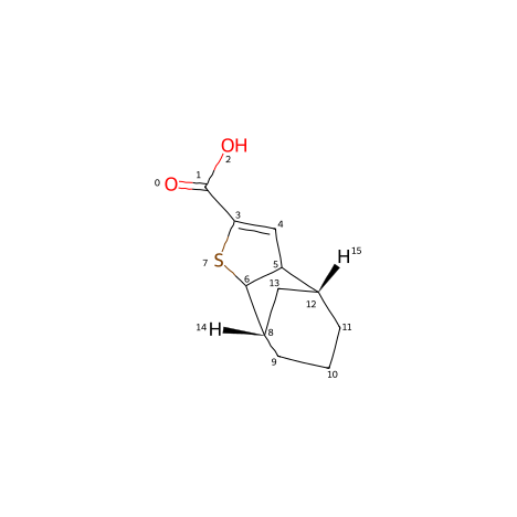 O=C(O)C1=CC2C(S1)[C@H]1CCC[C@@H]2C1